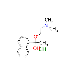 CN(C)CCOC(C)(O)c1cccc2ccccc12.Cl